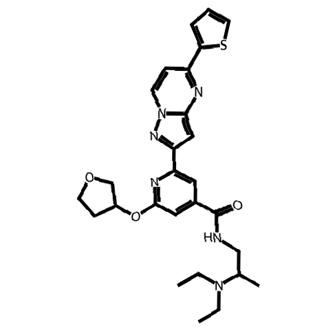 CCN(CC)C(C)CNC(=O)c1cc(OC2CCOC2)nc(-c2cc3nc(-c4cccs4)ccn3n2)c1